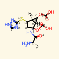 C[C@H](N)C(=O)N[C@]1(OC(=O)O)C[C@@H](Sc2nc[nH]n2)[C@H]2[C@H](OC(=O)O)[C@@H]21